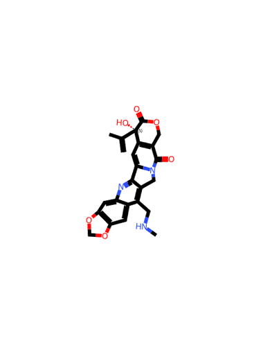 C=C(C)[C@@]1(O)C(=O)OCc2c1cc1n(c2=O)Cc2c-1nc1cc3c(cc1c2CNC)OCO3